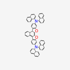 C1=CC2=CC=CC(N(c3ccc4c5c(oc4c3)=C3Oc4cc(N(c6cccc7ccccc67)c6cccc7ccccc67)ccc4C3C3C=CC=CC=53)c3cccc4ccccc34)C2C=C1